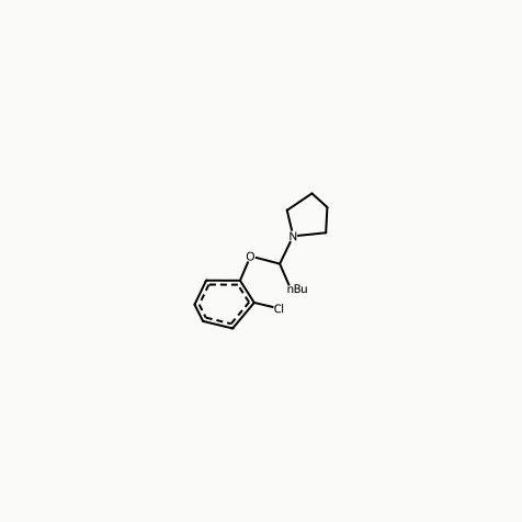 CCCCC(Oc1ccccc1Cl)N1CCCC1